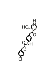 O=C(NCc1ccc(Cl)cc1)Nc1ccc(CC(=O)N2CCNC[C@@H]2CO)cc1